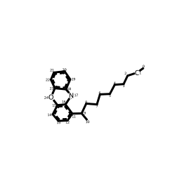 CCCCCCCCCC(C)c1cccc2c1[N]c1ccccc1O2